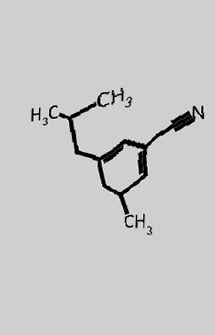 CC(C)CC1=CC(C#N)=CC(C)C1